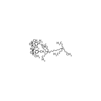 CCCC[P+](CCCC)(CCCC)CCCCCCCC[P+](CCCC)(CCCC)CCCC.Cc1cc(C)c(S(=O)(=O)[O-])c(C)c1.Cc1cc(C)c(S(=O)(=O)[O-])c(C)c1